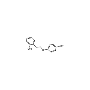 CCCc1ccc(OCCc2ccccc2O)cc1